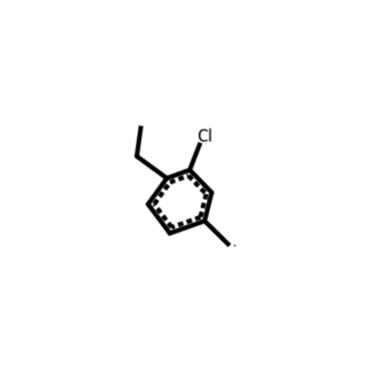 [CH2]c1ccc(CC)c(Cl)c1